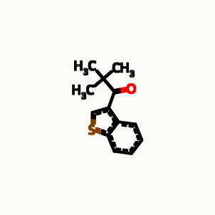 CC(C)(C)C(=O)c1csc2ccccc12